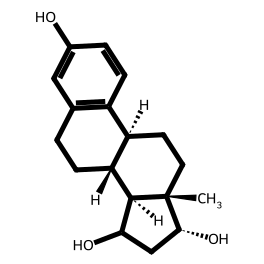 C[C@]12CC[C@@H]3c4ccc(O)cc4CC[C@H]3[C@@H]1C(O)C[C@H]2O